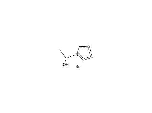 CC(O)[n+]1ccsc1.[Br-]